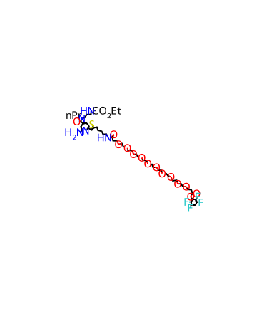 CCCN(CCCNC(=O)OCC)C(=O)C1=Cc2sc(CCCCCNC(=O)CCOCCOCCOCCOCCOCCOCCOCCOCCOCCOCCC(=O)Oc3c(F)c(F)cc(F)c3F)cc2N=C(N)C1